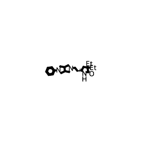 CCC1(CC)C[C@H](CCN2CC3CN(c4ccccc4)CC3C2)NC1=O